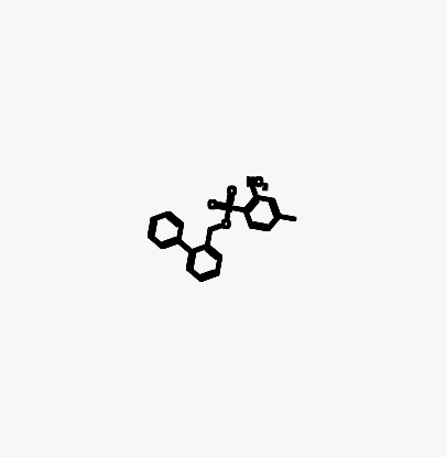 Cc1ccc(S(=O)(=O)OCc2ccccc2-c2ccccc2)c([N+](=O)[O-])c1